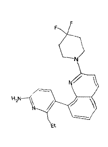 CCc1nc(N)ccc1-c1cccc2ccc(N3CCC(F)(F)CC3)nc12